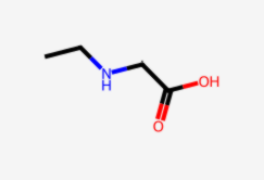 CCN[CH]C(=O)O